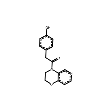 O=C(Cc1ccc(O)cc1)N1CCOc2ccncc21